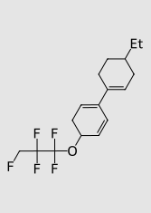 CCC1CC=C(C2=CCC(OC(F)(F)C(F)(F)CF)C=C2)CC1